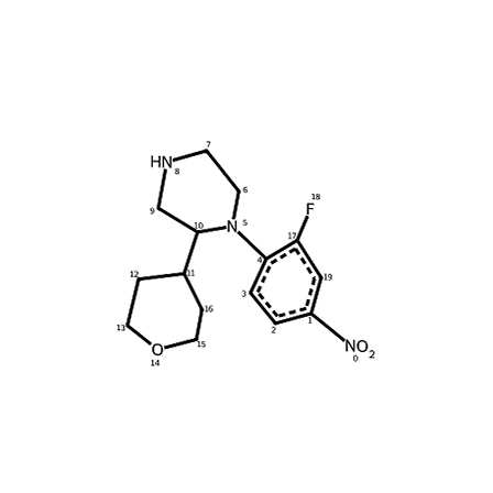 O=[N+]([O-])c1ccc(N2CCNCC2C2CCOCC2)c(F)c1